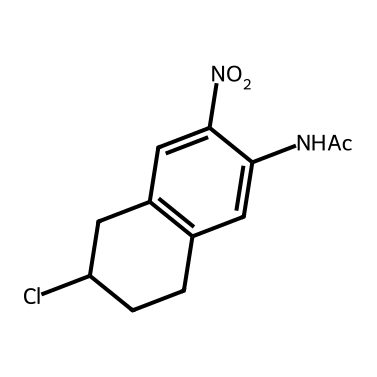 CC(=O)Nc1cc2c(cc1[N+](=O)[O-])CC(Cl)CC2